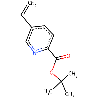 C=Cc1ccc(C(=O)OC(C)(C)C)nc1